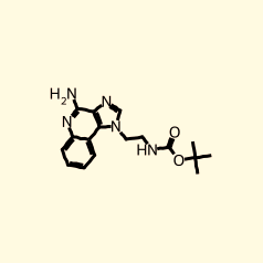 CC(C)(C)OC(=O)NCCn1cnc2c(N)nc3ccccc3c21